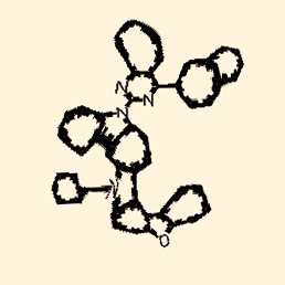 c1ccc(-n2c3ccc4oc5ccccc5c4c3c3ccc4c(c5ccccc5n4-c4nc(-c5ccc6ccccc6c5)c5ccccc5n4)c32)cc1